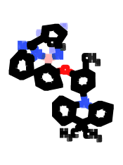 C\C1=C/C=C\C=N\B(c2ccccc2Oc2cc(N3c4ccccc4C(C)(C)c4ccccc43)ccc2C)n2c1nc1ccccc12